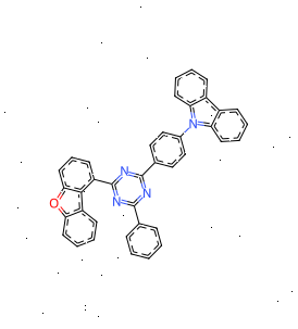 c1ccc(-c2nc(-c3ccc(-n4c5ccccc5c5ccccc54)cc3)nc(-c3cccc4oc5ccccc5c34)n2)cc1